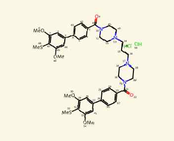 COc1cc(-c2ccc(C(=O)N3CCN(CCCN4CCN(C(=O)c5ccc(-c6cc(OC)c(SC)c(OC)c6)cc5)CC4)CC3)cc2)cc(OC)c1SC.Cl.Cl